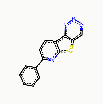 c1ccc(-c2ccc3c(n2)sc2cnnnc23)cc1